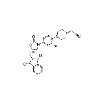 N#CC=C1CCN(c2ccc(N3C[C@H](CN4C(=O)c5ccccc5C4=O)OC3=O)cc2F)CC1